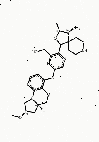 CO[C@@H]1C[C@H]2COc3c(Sc4cnc(C5O[C@@H](C)[C@@H](N)C56CCNCC6)c(CO)n4)ccnc3N2C1